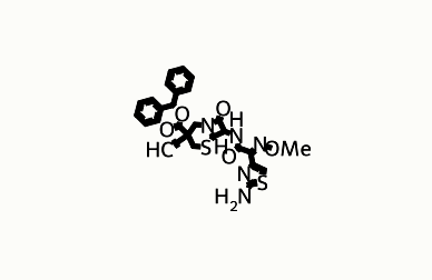 C#CC1(C(=O)OC(c2ccccc2)c2ccccc2)CS[C@@H]2C(NC(=O)C(=NOC)c3csc(N)n3)C(=O)N2C1